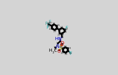 CCN(CC(=O)NCc1cc(F)cc(-c2ccc(C(F)(F)F)cc2)c1)S(=O)(=O)c1ccc(F)cc1